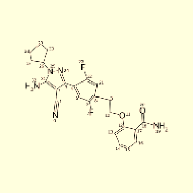 N#Cc1c(-c2cc(F)c(CCOc3ccccc3C(N)=O)cc2F)nn(C2CCCC2)c1N